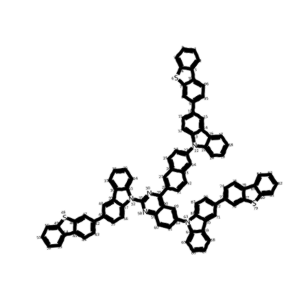 c1ccc2c(c1)sc1cc(-c3ccc4c(c3)c3ccccc3n4-c3ccc4cc(-c5nc(-n6c7ccccc7c7cc(-c8ccc9c(c8)sc8ccccc89)ccc76)nc6ccc(-n7c8ccccc8c8cc(-c9ccc%10c(c9)sc9ccccc9%10)ccc87)cc56)ccc4c3)ccc12